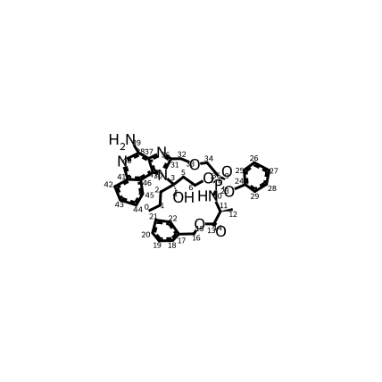 CCC[C@](O)(CCOP(=O)(N[C@@H](C)C(=O)OCc1ccccc1)Oc1ccccc1)n1c(COCC)nc2c(N)nc3ccccc3c21